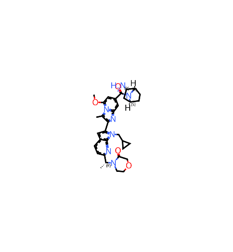 COc1cc(C(=O)N2[C@H]3CC[C@@H]2[C@H](N)C3)cc2nc(-c3cc4ccc([C@@H](C)N5CCOCC5=O)nc4n3CC3CC3)c(C)n12